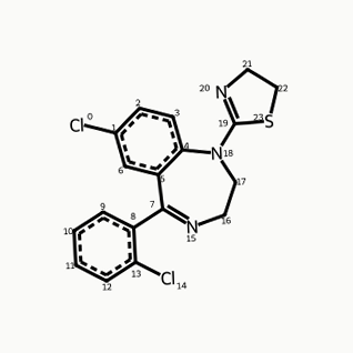 Clc1ccc2c(c1)C(c1ccccc1Cl)=NCCN2C1=NCCS1